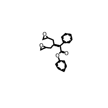 O=C(Oc1ccccc1)C(=C(CC1CO1)CC1CO1)c1ccccc1